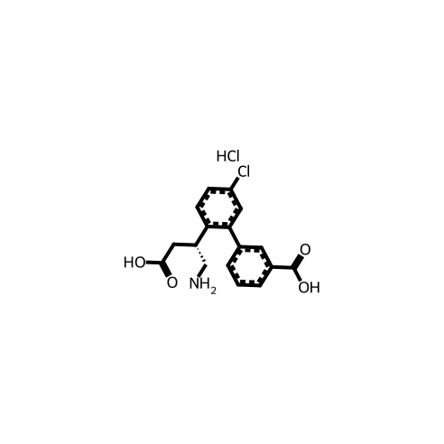 Cl.NC[C@H](CC(=O)O)c1ccc(Cl)cc1-c1cccc(C(=O)O)c1